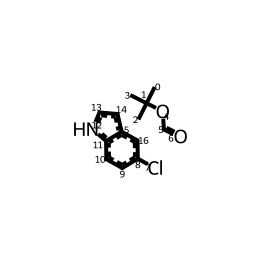 CC(C)(C)OC=O.Clc1ccc2[nH]ccc2c1